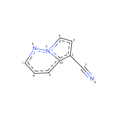 N#Cc1ccn2ncccc12